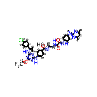 Cc1cc(C)nc(N(C)c2ccc(NC(=O)C(=O)NC/C(=N/C(=O)c3ccc(Nc4nc(NC5(c6ccc(Cl)cc6)CC5)nc(OCC(F)(F)F)n4)cc3)C(=O)O)cc2)n1